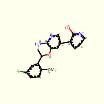 COc1ccc(F)cc1C(C)Oc1cc(-c2cccnc2O)cnc1N